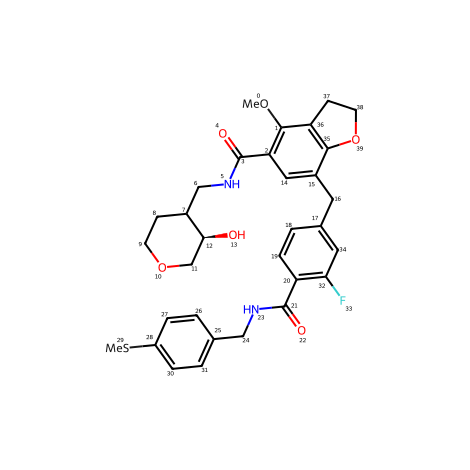 COc1c(C(=O)NCC2CCOC[C@@H]2O)cc(Cc2ccc(C(=O)NCc3ccc(SC)cc3)c(F)c2)c2c1CCO2